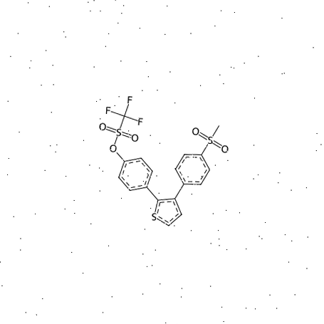 CS(=O)(=O)c1ccc(-c2ccsc2-c2ccc(OS(=O)(=O)C(F)(F)F)cc2)cc1